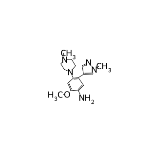 COc1cc(N2CCN(C)CC2)c(-c2cnn(C)c2)cc1N